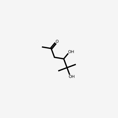 CC(=O)CC(O)C(C)(C)O